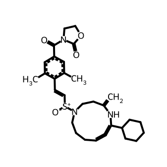 C=C1CCN([S+]([O-])/C=C/c2c(C)cc(C(=O)N3CCOC3=O)cc2C)CCCC=C=C(C2CCCCC2)N1